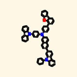 c1ccc(-n2c3ccccc3c3ccc(-c4ccc5cc(N(c6ccc(-c7cccc8c7oc7ccccc78)cc6)c6ccc(-n7c8ccccc8c8ccccc87)cc6)ccc5c4)cc32)cc1